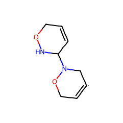 [C]1=CCON(C2C=CCON2)C1